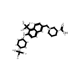 O=C(O)[C@@H]1CCCN(Cc2ccc3c(C(F)(F)F)c(O[C@H]4CC[C@@H](C(F)(F)F)CC4)ccc3c2)C1